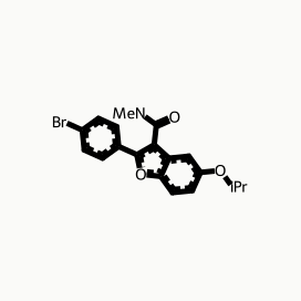 CNC(=O)c1c(-c2ccc(Br)cc2)oc2ccc(OC(C)C)cc12